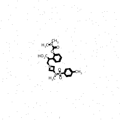 Cc1ccc(S(=O)(=O)N(C)C2CN(CC(C(=O)O)c3ccccc3OC(=O)N(C)C)C2)cc1